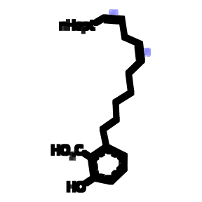 CCCCCCC/C=C\C/C=C\CCCCCc1cccc(O)c1C(=O)O